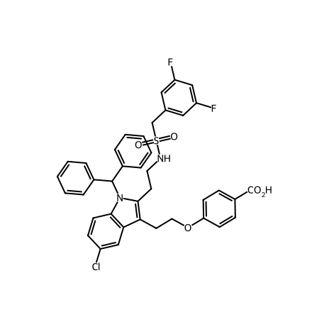 O=C(O)c1ccc(OCCc2c(CCNS(=O)(=O)Cc3cc(F)cc(F)c3)n(C(c3ccccc3)c3ccccc3)c3ccc(Cl)cc23)cc1